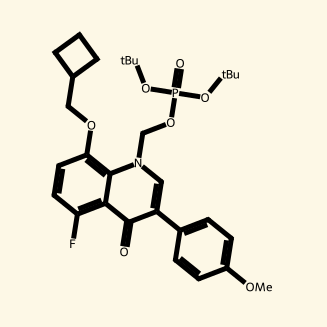 COc1ccc(-c2cn(COP(=O)(OC(C)(C)C)OC(C)(C)C)c3c(OCC4CCC4)ccc(F)c3c2=O)cc1